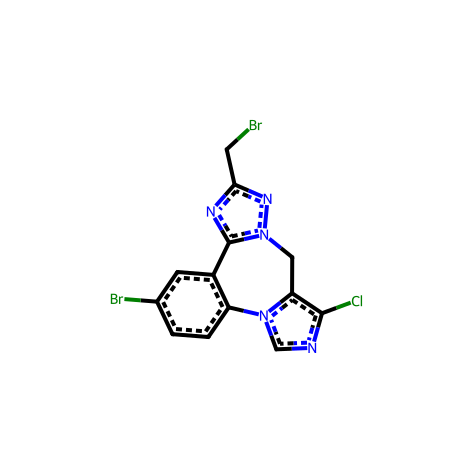 Clc1ncn2c1Cn1nc(CBr)nc1-c1cc(Br)ccc1-2